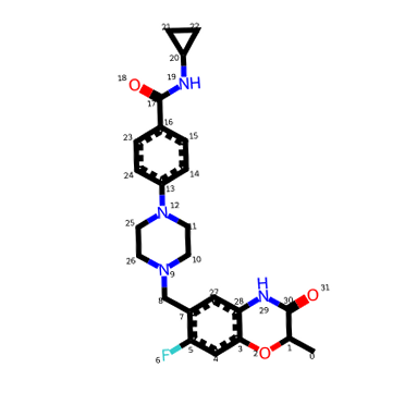 CC1Oc2cc(F)c(CN3CCN(c4ccc(C(=O)NC5CC5)cc4)CC3)cc2NC1=O